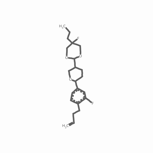 C=CCCc1ccc(C2CCC(C3OCC(F)(CCC)CO3)CO2)cc1F